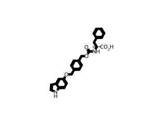 O=C(N[C@H](Cc1ccccc1)C(=O)O)OCc1ccc(COc2ccc3[nH]ccc3c2)cc1